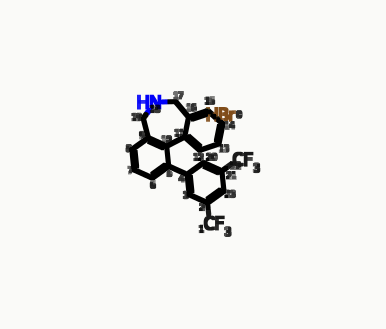 Br.FC(F)(F)c1cc(-c2cccc3c2-c2ccccc2CNC3)cc(C(F)(F)F)c1